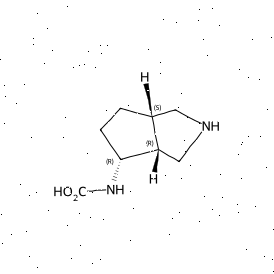 O=C(O)N[C@@H]1CC[C@@H]2CNC[C@@H]21